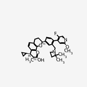 COc1cc(-c2ccc([C@@H]3CCc4ccc([C@H](C5CC5)[C@H](C)C(=O)O)cc4O3)cc2CN2CCC2(C)C)c(F)cn1